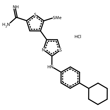 CSc1sc(C(=N)N)cc1-c1csc(Nc2ccc(C3CCCCC3)cc2)n1.Cl